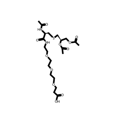 CC(=O)N[C@@H](CSC[C@@H](COC(C)=O)OC(C)=O)C(=O)NCCOCCOCCOCCC(=O)O